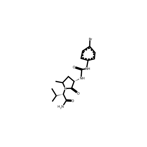 CC(C)[C@@H](C(N)=O)N1C(=O)[C@@H](NC(=O)Nc2ccc(Br)cc2)CC1C